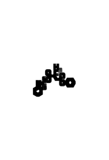 CC(CC(=O)Oc1ccccc1)C(=O)OSc1nc2ccccc2s1